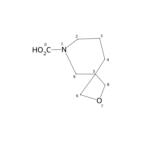 O=C(O)N1CCCC2(COC2)C1